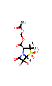 CC(C)(C)C(=O)OCOC(=O)[C@@H]1N2C(=O)C(Br)(Br)[C@H]2S(=O)(=O)C1(C)C